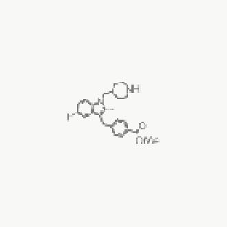 COC(=O)c1ccc(Cc2c(C)n(CC3CCNCC3)c3ccc(F)cc23)cc1